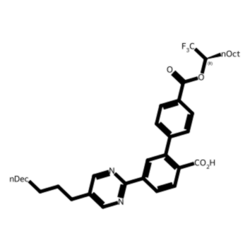 CCCCCCCCCCCCCc1cnc(-c2ccc(C(=O)O)c(-c3ccc(C(=O)O[C@H](CCCCCCCC)C(F)(F)F)cc3)c2)nc1